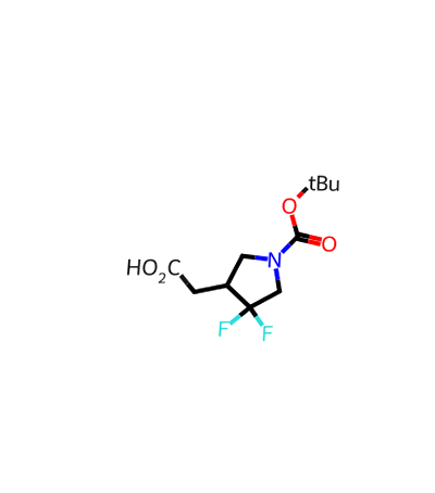 CC(C)(C)OC(=O)N1CC(CC(=O)O)C(F)(F)C1